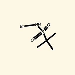 CC(C)(C)S(=O)(=O)NBr